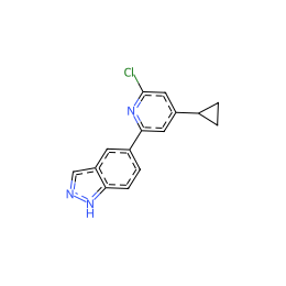 Clc1cc(C2CC2)cc(-c2ccc3[nH]ncc3c2)n1